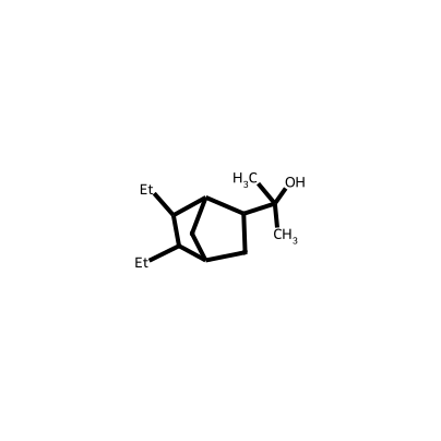 CCC1C2CC(C1CC)C(C(C)(C)O)C2